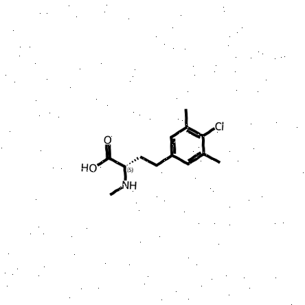 CN[C@@H](CCc1cc(C)c(Cl)c(C)c1)C(=O)O